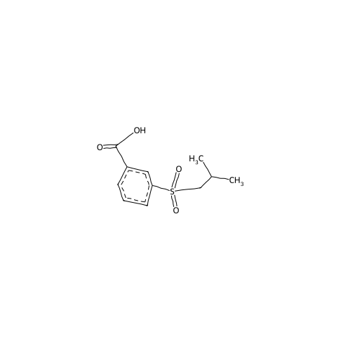 CC(C)CS(=O)(=O)c1cccc(C(=O)O)c1